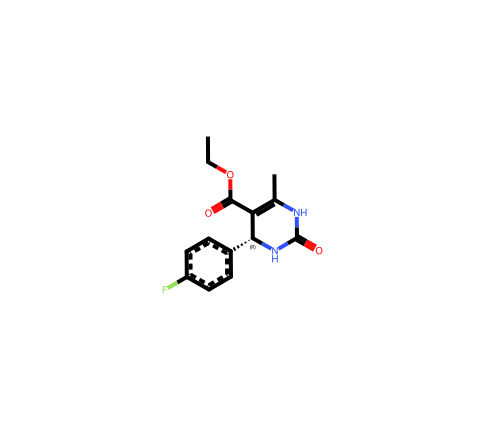 CCOC(=O)C1=C(C)NC(=O)N[C@@H]1c1ccc(F)cc1